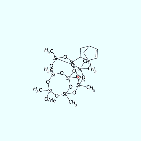 CO[Si]1(C)O[Si]2(C)O[Si]3(C)O[Si](C)(C)O[Si]4(C)O[Si](C)(O1)O[Si](C)(O2)O[Si](C1CC2C=CC1C2)(O3)O4